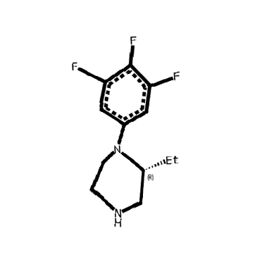 CC[C@@H]1CNCCN1c1cc(F)c(F)c(F)c1